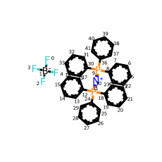 F[B-](F)(F)F.c1ccc(P(=[N+]=P(c2ccccc2)(c2ccccc2)c2ccccc2)(c2ccccc2)c2ccccc2)cc1